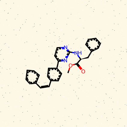 COC(=O)[C@H](Cc1ccccc1)Nc1nccc(-c2ccc(/C=C\c3ccccc3)cc2)n1